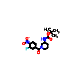 CC(C)(C)OC(=O)N[C@H]1CCCN(C(=O)c2ccc([N+](=O)[O-])c(F)c2)C1